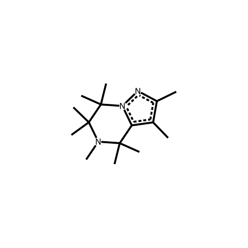 Cc1nn2c(c1C)C(C)(C)N(C)C(C)(C)C2(C)C